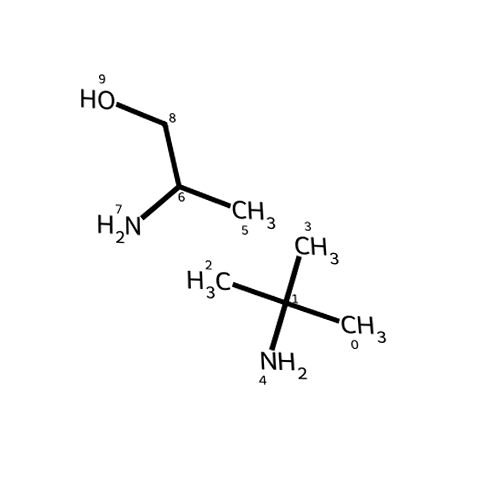 CC(C)(C)N.CC(N)CO